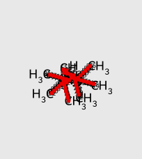 CCCCCCCCCCSc1cc(Nc2nc(Nc3cc(SCCCCCCCCCC)c(SCCCCCCCCCC)c(SCCCCCCCCCC)c3)nc(-c3ccc(CC)cc3)n2)cc(SCCCCCCCCCC)c1SCCCCCCCCCC